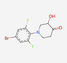 O=C1CCN(c2c(F)cc(Br)cc2F)CC1O